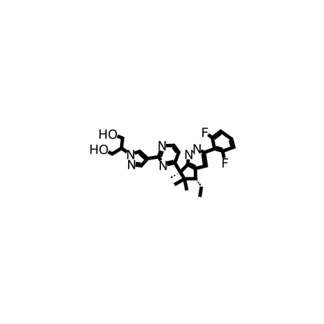 CC[C@H]1c2cc(-c3c(F)cccc3F)nnc2[C@](C)(c2ccnc(-c3cnn(C(CO)CO)c3)n2)C1(C)C